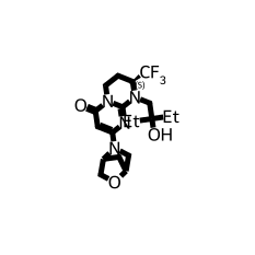 CCC(O)(CC)CN1c2nc(N3CC4CC3CO4)cc(=O)n2CC[C@H]1C(F)(F)F